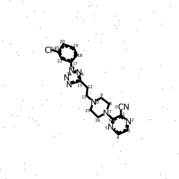 N#Cc1nccnc1N1CCN(CCc2nnn(-c3cccc(Cl)c3)n2)CC1